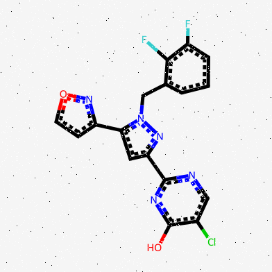 Oc1nc(-c2cc(-c3ccon3)n(Cc3cccc(F)c3F)n2)ncc1Cl